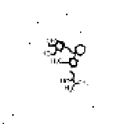 CCc1cc(C2(CCc3ccc(CO)c(CO)c3)CCCCC2)ccc1SCC(O)C(C)C